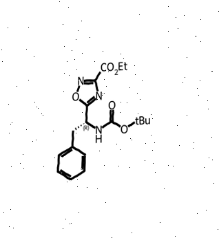 CCOC(=O)c1noc([C@@H](Cc2ccccc2)NC(=O)OC(C)(C)C)n1